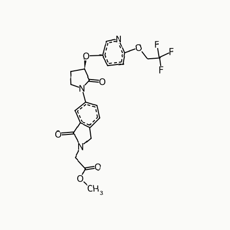 COC(=O)CN1Cc2ccc(N3CC[C@@H](Oc4ccc(OCC(F)(F)F)nc4)C3=O)cc2C1=O